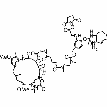 COc1cc2cc(c1Cl)N(C)C(=O)C[C@H](OC(=O)[C@H](C)N(C)C(=O)CCSC(=O)N(C)CCN(C)C(=O)OCc1ccc(OC(=O)N[C@H]3CCCC/C=C/[C@@H]3N)c(NCC(=O)ON3C(=O)CCC3=O)c1)[C@]1(C)O[C@H]1[C@H](C)[C@@H]1C[C@@](O)(NC(=O)O1)[C@H](OC)/C=C/C=C(\C)C2